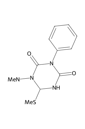 CNN1C(=O)N(c2ccccc2)C(=O)NC1SC